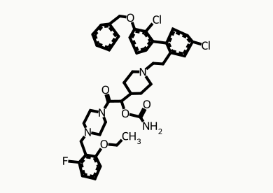 CCOc1cccc(F)c1CN1CCN(C(=O)C(OC(N)=O)C2CCN(CCc3cc(Cl)ccc3-c3cccc(OCc4ccccc4)c3Cl)CC2)CC1